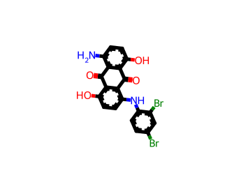 Nc1ccc(O)c2c1C(=O)c1c(O)ccc(Nc3ccc(Br)cc3Br)c1C2=O